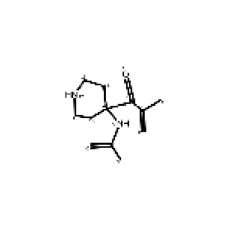 C=C(C)NC1(C(=O)C(=C)C)CCNCC1